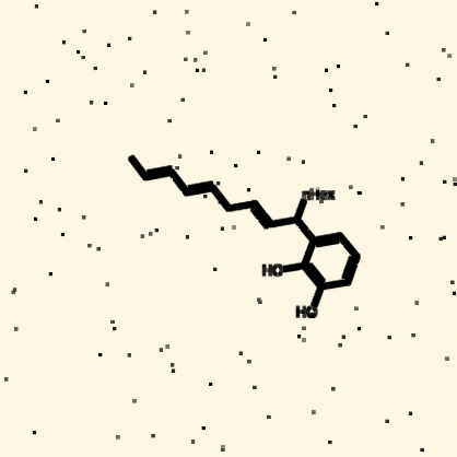 CC=CC=CCC=CC(CCCCCC)c1cccc(O)c1O